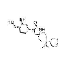 CN(C)[C@]1(c2ccccc2)CC[C@]2(CC1)CN(C1=CC(=N)/C(=N\O)C=C1)C(=O)N2